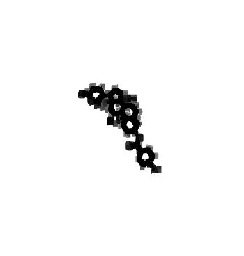 CC(=O)N1CCC(C(=O)O[C@@H]2C=C3CCC4C(CC[C@]5(C)[C@@H](c6ccc(=O)oc6)CC[C@]45O)[C@@]3(C)CC2)CC1